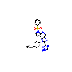 N#CCC1CCC(n2c(-c3nc[nH]n3)nc3cnc4c(ccn4S(=O)(=O)c4ccccc4)c32)CC1